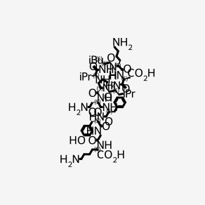 CC[C@H](C)[C@H](NC(=O)[C@@H](N)C(C)C)C(=O)N[C@@H](CCCCN)C(=O)N[C@@H](CC(=O)O)C(=O)N[C@@H](CC(C)C)C(=O)N1CCC[C@H]1C(=O)N[C@@H](CC(N)=O)C(=O)N[C@@H](Cc1ccccc1)C(=O)N[C@@H](Cc1ccc(O)cc1)C(=O)NCC(=O)N[C@@H](CCCCN)C(=O)O